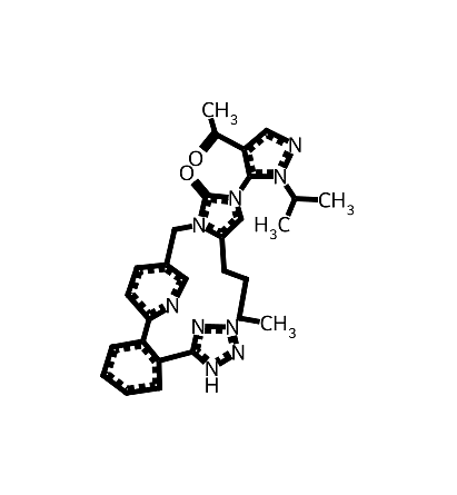 CCCCc1cn(-c2c(C(C)=O)cnn2C(C)C)c(=O)n1Cc1ccc(-c2ccccc2-c2nnn[nH]2)nc1